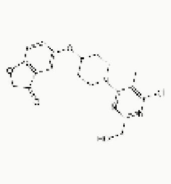 Cc1c(Cl)nc(CO)nc1N1CCC(Oc2ccc3c(c2)C(=O)CO3)CC1